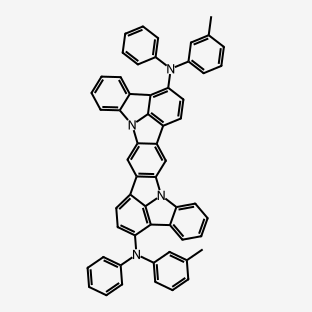 Cc1cccc(N(c2ccccc2)c2ccc3c4cc5c(cc4n4c6ccccc6c2c34)c2ccc(N(c3ccccc3)c3cccc(C)c3)c3c4ccccc4n5c23)c1